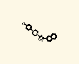 Clc1ccc(N2CCN(c3nc(-c4ccc5ccccc5c4)no3)CC2)cc1